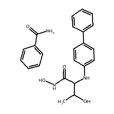 CC(O)C(Nc1ccc(-c2ccccc2)cc1)C(=O)NO.NC(=O)c1ccccc1